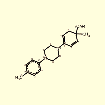 COC1(C)C=CC(N2CCN(c3ccc(C)cc3)CC2)=CC1